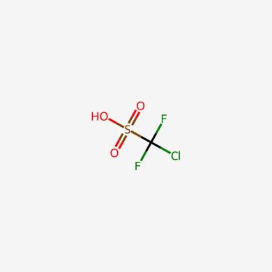 O=S(=O)(O)C(F)(F)Cl